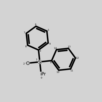 CC(C)[Si]([O])(c1ccccc1)c1ccccc1